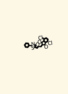 O=C1C(=Cc2cc3sc(-c4ccccc4)nc3o2)C(=O)c2c(Cl)ccc(Cl)c21